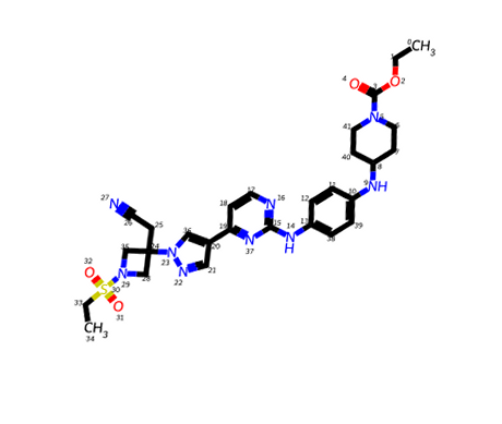 CCOC(=O)N1CCC(Nc2ccc(Nc3nccc(-c4cnn(C5(CC#N)CN(S(=O)(=O)CC)C5)c4)n3)cc2)CC1